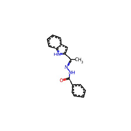 C/C(=N\NC(=O)c1ccccc1)c1cc2ccccc2[nH]1